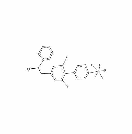 C[C@H](Cc1cc(F)c(-c2ccc(S(F)(F)(F)(F)F)cc2)c(F)c1)c1ccccc1